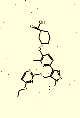 CCOc1ccnc(NCc2c(-c3ccc(O[C@H]4CCCC(C(=O)O)C4)c(C)n3)nnn2C)n1